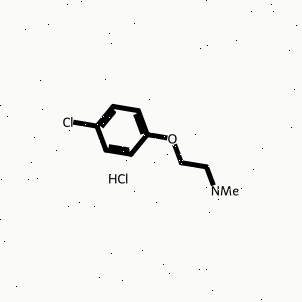 CNCCOc1ccc(Cl)cc1.Cl